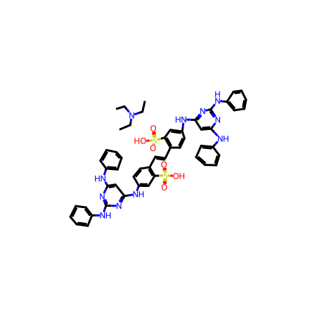 CCN(CC)CC.O=S(=O)(O)c1cc(Nc2cc(Nc3ccccc3)nc(Nc3ccccc3)n2)ccc1C=Cc1ccc(Nc2cc(Nc3ccccc3)nc(Nc3ccccc3)n2)cc1S(=O)(=O)O